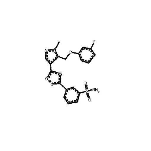 Cn1ncc(-c2nc(-c3cccc(S(N)(=O)=O)c3)no2)c1COc1cccc(F)c1